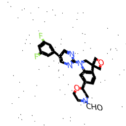 O=CN1CCOC(c2ccc3c(c2)N(c2ncc(-c4cc(F)cc(F)c4)cn2)CC32COC2)C1